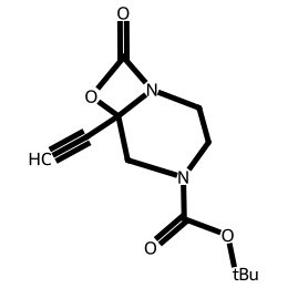 C#CC12CN(C(=O)OC(C)(C)C)CCN1C(=O)O2